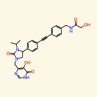 CC(C)N1C(=O)N(Cc2nc[nH]c(=O)c2O)CC1c1ccc(C#Cc2ccc(CNC(=O)CO)cc2)cc1